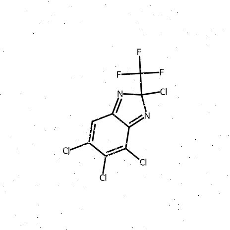 FC(F)(F)C1(Cl)N=c2cc(Cl)c(Cl)c(Cl)c2=N1